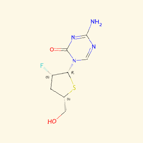 Nc1ncn([C@@H]2S[C@H](CO)C[C@@H]2F)c(=O)n1